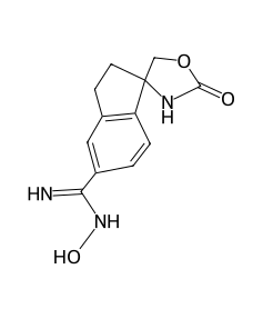 N=C(NO)c1ccc2c(c1)CCC21COC(=O)N1